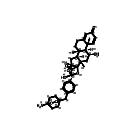 C[C@]12C=CC(=O)C=C1CC[C@@H]1[C@@H]2[C@@H](O)C[C@@]2(C)[C@H]1C[C@H]1O[C@@H](c3ccc(CC45CCC(N)(CC4)CO5)cc3)O[C@]12C(=O)CO